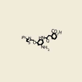 CC(C)c1csc(COc2cc(N)cc(NC(=O)Cc3ccccc3C(=O)O)c2)n1